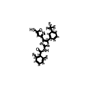 O=C(Nc1nc(-c2cc(S)on2)c(-c2cccc(C(F)(F)F)c2)s1)c1c(F)cccc1F